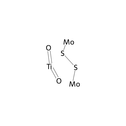 [Mo][S][S][Mo].[O]=[Ti]=[O]